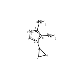 Nc1ncn(C2CC2)c1N